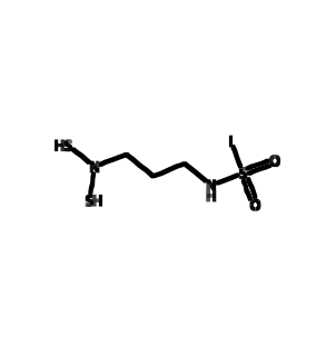 O=S(=O)(I)NCCCN(S)S